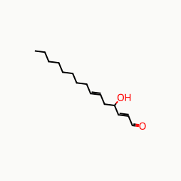 CCCCCCCCC=CCC(O)C=CC=O